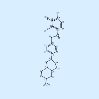 CCCC1CCC2CC(c3ccc(COc4ccc(C)c(F)c4F)cc3)CCC2C1